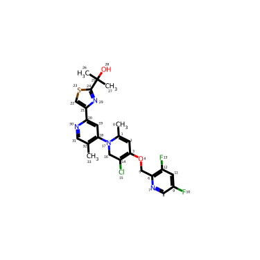 CC1=CC(OCc2ncc(F)cc2F)=C(Cl)CN1c1cc(-c2csc(C(C)(C)O)n2)ncc1C